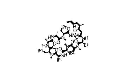 C=C(C(=O)N(C)[C@H](C(=O)N[C@H](C(=O)N(C)[C@H](CC(C)C)C(=O)N[C@@H](C)C(=O)N[C@H](C)C(=O)N(C)[C@@H](CC(C)C)C(=O)NC)C(C)C)C(C)CC)N(C)C(=O)[C@H](CC)NC(=O)C[C@H](O)[C@H](C)C/C=C/C